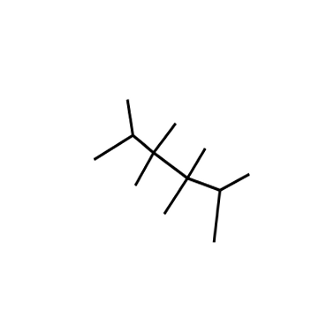 CC(C)C(C)(C)C(C)(C)C(C)C